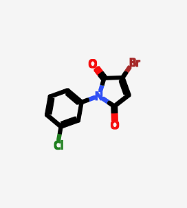 O=C1C=C(Br)C(=O)N1c1cccc(Cl)c1